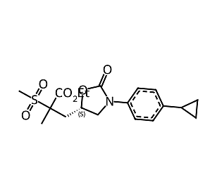 CCOC(=O)C(C)(C[C@H]1CN(c2ccc(C3CC3)cc2)C(=O)O1)S(C)(=O)=O